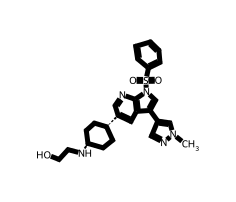 Cn1cc(-c2cn(S(=O)(=O)c3ccccc3)c3ncc([C@H]4CC[C@@H](NCCO)CC4)cc23)cn1